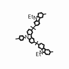 CCn1c2ccc(C)cc2c2ccc(C(C)(C)c3ccc4c(c3)c3cc(C(C)(C)c5ccc6c7cc(C)ccc7n(CC)c6c5)ccc3n4-c3ccc(C)cc3)cc21